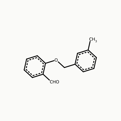 Cc1cccc(COc2ccccc2C=O)c1